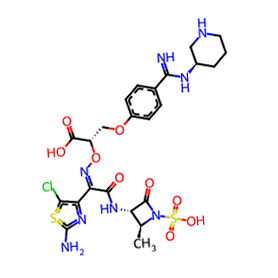 C[C@H]1[C@H](NC(=O)/C(=N\O[C@@H](COc2ccc(C(=N)N[C@@H]3CCCNC3)cc2)C(=O)O)c2nc(N)sc2Cl)C(=O)N1S(=O)(=O)O